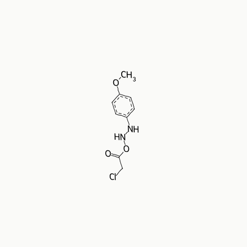 COc1ccc(NNOC(=O)CCl)cc1